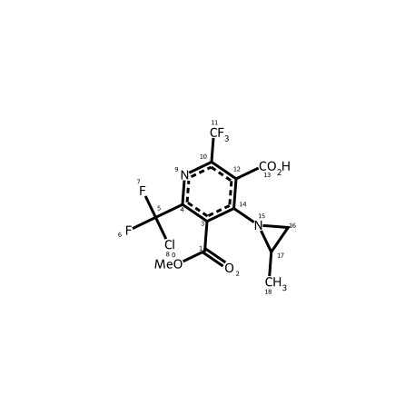 COC(=O)c1c(C(F)(F)Cl)nc(C(F)(F)F)c(C(=O)O)c1N1CC1C